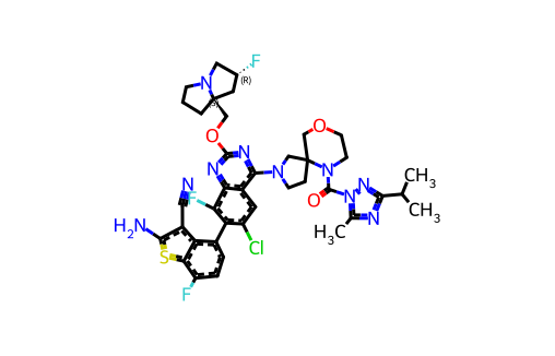 Cc1nc(C(C)C)nn1C(=O)N1CCOCC12CCN(c1nc(OC[C@@]34CCCN3C[C@H](F)C4)nc3c(F)c(-c4ccc(F)c5sc(N)c(C#N)c45)c(Cl)cc13)C2